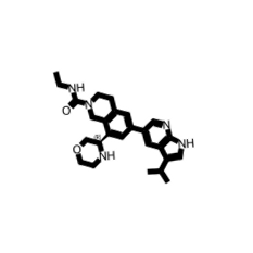 CCNC(=O)N1CCc2cc(-c3cnc4[nH]cc(C(C)C)c4c3)cc([C@@H]3COCCN3)c2C1